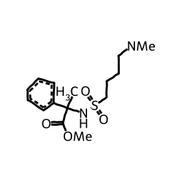 CNCCCCS(=O)(=O)NC(C)(C(=O)OC)c1ccccc1